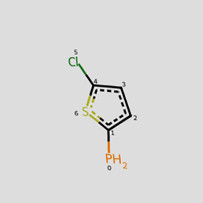 Pc1ccc(Cl)s1